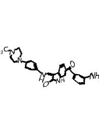 CN1CCN(c2ccc(NC=C3C(=O)Nc4cc(C(=O)c5cccc(N)c5)ccc43)cc2)CC1